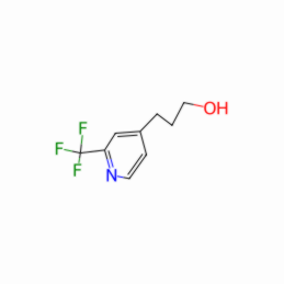 OCCCc1ccnc(C(F)(F)F)c1